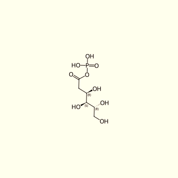 O=C(C[C@@H](O)[C@H](O)[C@H](O)CO)OP(=O)(O)O